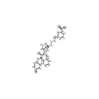 O=C(OC1C[N+]2(CCCOc3cccc([N+](=O)[O-])c3)CCC1CC2)N(Cc1ccc(F)cc1)c1ccccc1F